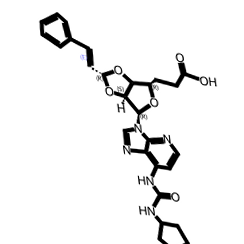 O=C(O)CC[C@H]1O[C@@H](n2cnc3c(NC(=O)NC4CCCC4)ccnc32)[C@H]2O[C@H](/C=C/c3ccccc3)OC12